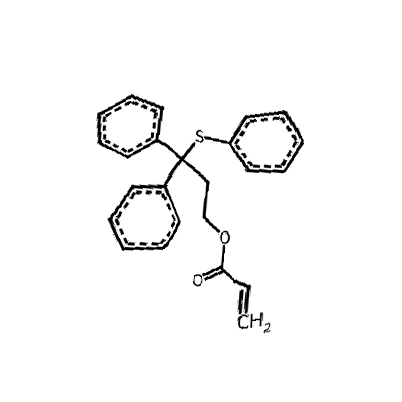 C=CC(=O)OCCC(Sc1ccccc1)(c1ccccc1)c1ccccc1